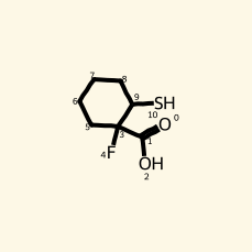 O=C(O)C1(F)CCCCC1S